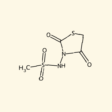 CS(=O)(=O)NN1C(=O)CSC1=O